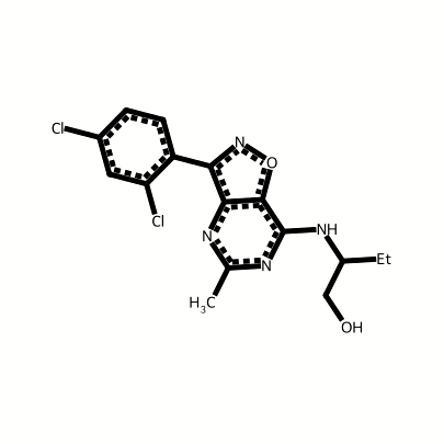 CCC(CO)Nc1nc(C)nc2c(-c3ccc(Cl)cc3Cl)noc12